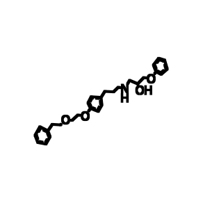 OC(CNCCCc1ccc(OCCOCCc2ccccc2)cc1)COc1ccccc1